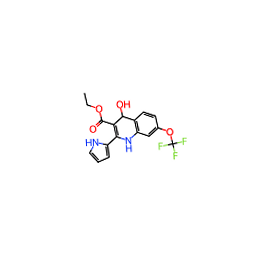 CCOC(=O)C1=C(c2ccc[nH]2)Nc2cc(OC(F)(F)F)ccc2C1O